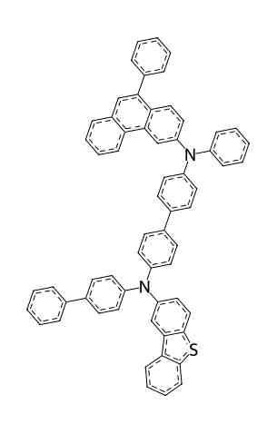 c1ccc(-c2ccc(N(c3ccc(-c4ccc(N(c5ccccc5)c5ccc6c(-c7ccccc7)cc7ccccc7c6c5)cc4)cc3)c3ccc4sc5ccccc5c4c3)cc2)cc1